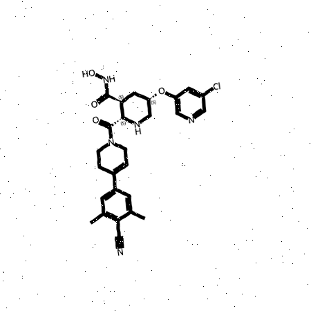 Cc1cc(C2=CCN(C(=O)[C@H]3NC[C@@H](Oc4cncc(Cl)c4)C[C@@H]3C(=O)NO)CC2)cc(C)c1C#N